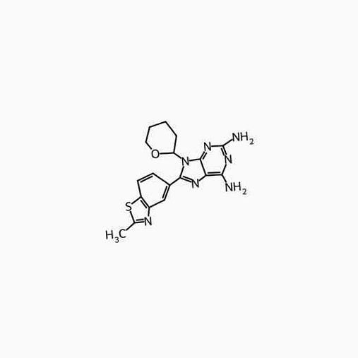 Cc1nc2cc(-c3nc4c(N)nc(N)nc4n3C3CCCCO3)ccc2s1